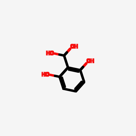 Oc1cccc(O)c1C(O)O